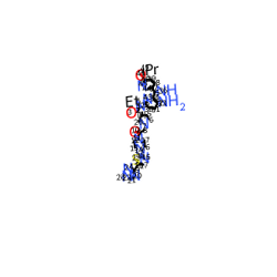 CCN(C(=O)[C@@H]1CCN(CC(=O)N2CCN(c3ncc(-c4ncn(C)n4)s3)CC2)C1)c1ccc(N)c(C(=N)c2ccc(OC(C)C)nc2)n1